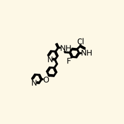 C=C(NCc1cc2c(Cl)c[nH]c2cc1F)c1ccnc(Cc2ccc(Oc3cccnc3)cc2)c1